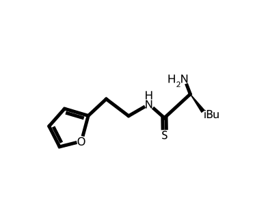 CCC(C)[C@H](N)C(=S)NCCc1ccco1